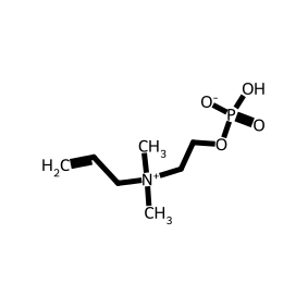 C=CC[N+](C)(C)CCOP(=O)([O-])O